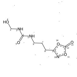 O=C(NCO)NCCCc1noc(=O)o1